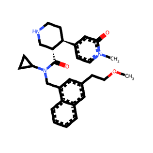 COCCc1cc(CN(C(=O)[C@@H]2CNCC[C@H]2c2ccn(C)c(=O)c2)C2CC2)c2ccccc2c1